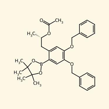 CC(=O)O[C@@H](C)Cc1cc(OCc2ccccc2)c(OCc2ccccc2)cc1B1OC(C)(C)C(C)(C)O1